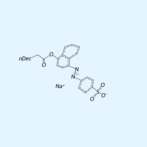 CCCCCCCCCCCC(=O)Oc1ccc(/N=N/c2ccc(S(=O)(=O)[O-])cc2)c2ccccc12.[Na+]